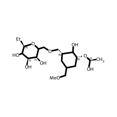 CC[C@H]1OC(COC[C@H]2CC(COC)C[C@@H](O[C@@H](C)O)C2O)[C@@H](O)[C@@H](O)C1O